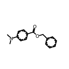 CN(C)c1ccc(C(=O)OCc2ccccc2)cc1